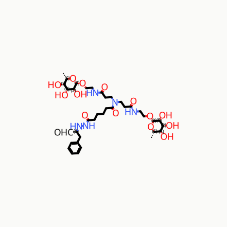 C[C@@H]1O[C@@H](OCCNC(=O)CCN(CCC(=O)NCCO[C@@H]2O[C@@H](C)[C@@H](O)[C@@H](O)[C@@H]2O)C(=O)CCCCC(=O)NN[C@H](C=O)Cc2ccccc2)[C@@H](O)[C@H](O)[C@@H]1O